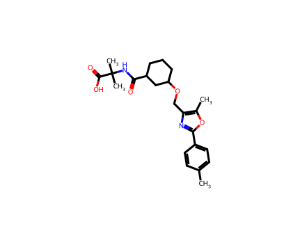 Cc1ccc(-c2nc(COC3CCCC(C(=O)NC(C)(C)C(=O)O)C3)c(C)o2)cc1